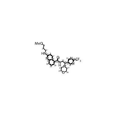 COCCCNc1ccc2c(C(=O)NCC(c3cnc(C(F)(F)F)nc3)N3CCOCC3)cccc2n1